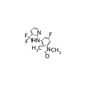 Cc1c(Nc2ncccc2C(F)(F)F)cc(F)cc1N(C)C=O